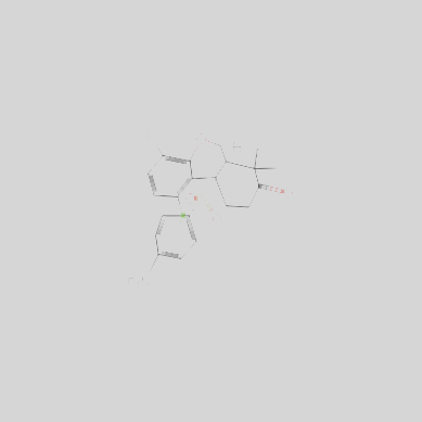 CC1(C)C(=O)CC[C@@]2(S(=O)(=O)c3ccc(C(F)(F)F)cc3)c3c(F)ccc(F)c3OC[C@@H]12